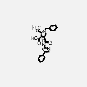 CCC1C(C(=O)O)C(C(=O)Nc2ncc(-c3ccccc3)s2)CN1Cc1ccccc1